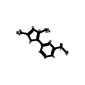 CCNc1nccc(-c2sc(N)nc2C)n1